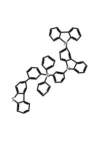 c1ccc([Si](c2ccccc2)(c2cccc(-c3ccc4sc5ccccc5c4c3)c2)c2cccc(-n3c4ccccc4c4cc(-n5c6ccccc6c6ccccc65)ccc43)c2)cc1